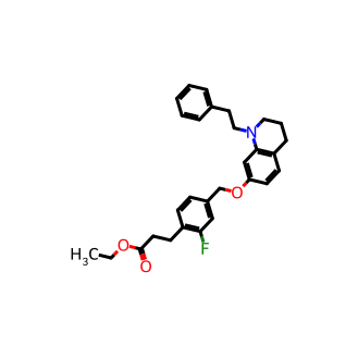 CCOC(=O)CCc1ccc(COc2ccc3c(c2)N(CCc2ccccc2)CCC3)cc1F